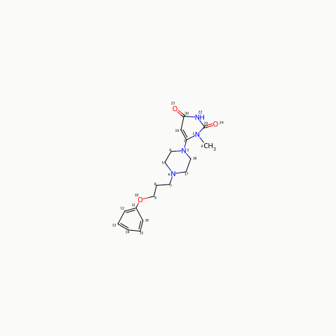 Cn1c(N2CCN(CCCOc3ccccc3)CC2)cc(=O)[nH]c1=O